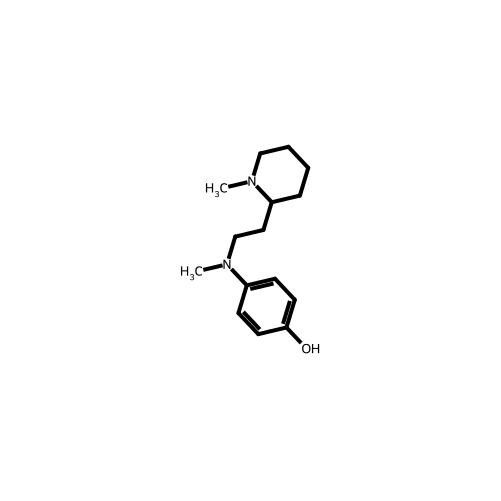 CN(CCC1CCCCN1C)c1ccc(O)cc1